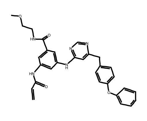 C=CC(=O)Nc1cc(Nc2cc(Cc3ccc(Oc4ccccc4)cc3)ncn2)cc(C(=O)NCCOC)c1